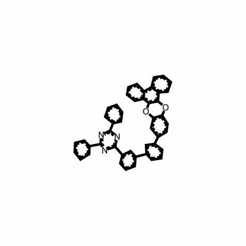 c1ccc(-c2nc(-c3ccccc3)nc(-c3cccc(-c4cccc(-c5ccc6c(c5)Oc5c(c7ccccc7c7ccccc57)O6)c4)c3)n2)cc1